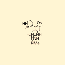 CNC1CC(C)NC(Nc2cc3c(c(C4=C[C@H](C)NCCC4)c2F)OCC3)N1